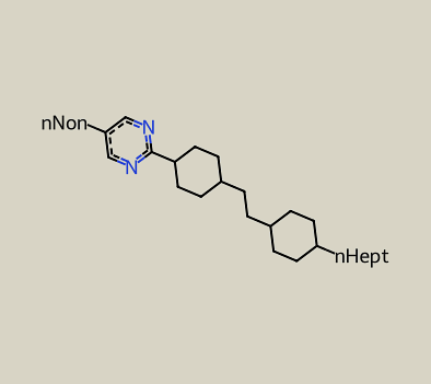 CCCCCCCCCc1cnc(C2CCC(CCC3CCC(CCCCCCC)CC3)CC2)nc1